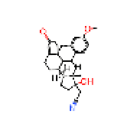 COc1ccc2c(c1)C[C@]13CCC(=O)C=C1CC[C@@H]1[C@@H]3[C@@H]2C[C@@]2(C)[C@H]1CC[C@@]2(O)CC#N